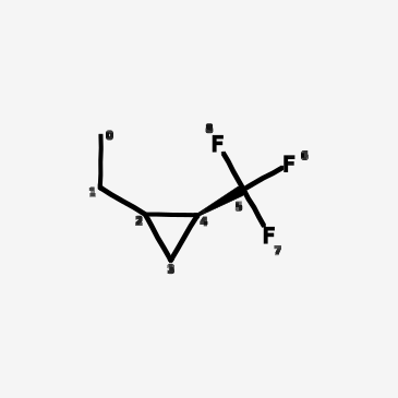 CCC1C[C@@H]1C(F)(F)F